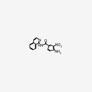 Nc1ccc(C(=O)Nc2nccc3ccccc23)cc1[N+](=O)[O-]